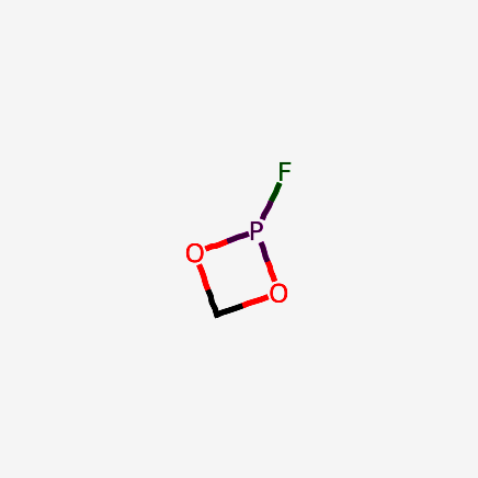 FP1OCO1